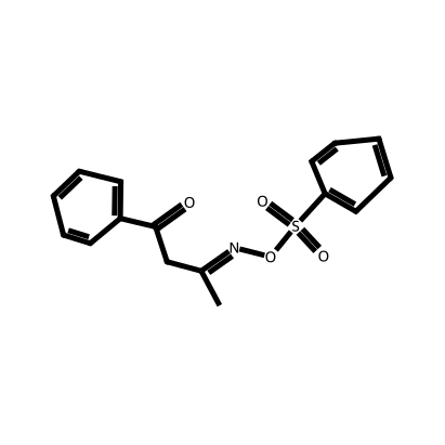 CC(CC(=O)c1ccccc1)=NOS(=O)(=O)c1ccccc1